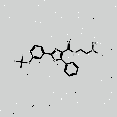 CN(C)CCNC(=O)c1nc(-c2cccc(OC(F)(F)F)c2)oc1-c1ccccc1